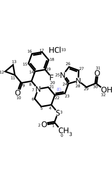 CC(=O)SC1CCN(C(C(=O)C2CC2)c2ccccc2F)C/C1=C\c1nccn1CC(=O)O.Cl